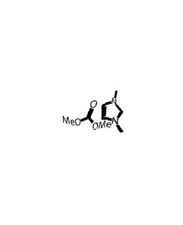 CN1C=CN(C)C1.COC(=O)OC